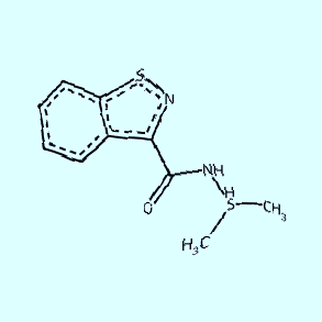 C[SH](C)NC(=O)c1nsc2ccccc12